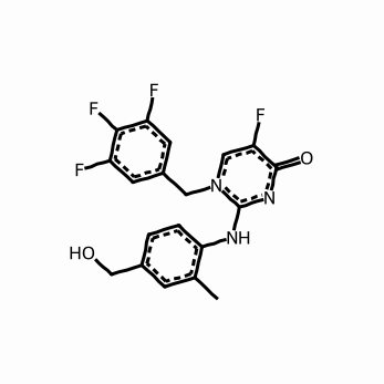 Cc1cc(CO)ccc1Nc1nc(=O)c(F)cn1Cc1cc(F)c(F)c(F)c1